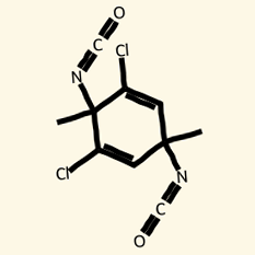 CC1(N=C=O)C=C(Cl)C(C)(N=C=O)C(Cl)=C1